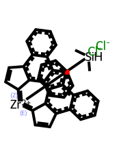 C[SiH](C)/[Zr+2](=[C]1/C=Cc2c1c1ccccc1c1ccccc21)=[C]1\C=Cc2c1c1ccccc1c1ccccc21.[Cl-].[Cl-]